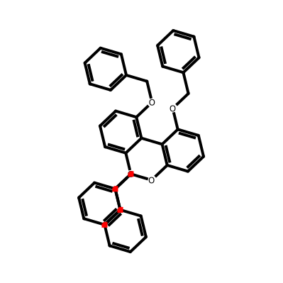 c1ccc(COc2cccc(OCc3ccccc3)c2-c2c(OCc3ccccc3)cccc2OCc2ccccc2)cc1